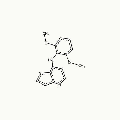 COc1cccc(OC)c1Nc1ncnc2ccsc12